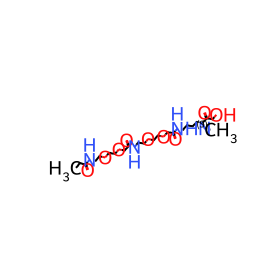 CCC(=O)NCCOCCOCC(=O)NCCOCCOCC(=O)NCCCC[C@H](NC)C(=O)CO